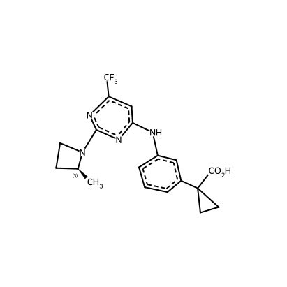 C[C@H]1CCN1c1nc(Nc2cccc(C3(C(=O)O)CC3)c2)cc(C(F)(F)F)n1